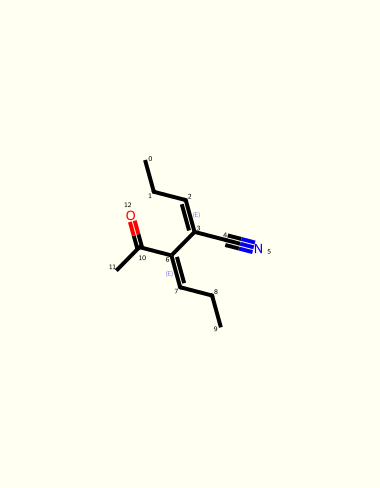 CC/C=C(C#N)\C(=C/CC)C(C)=O